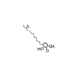 CCC(=O)CCCCCCCCCc1ccc(O)c(OC)c1O